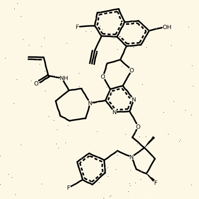 C#Cc1c(F)ccc2cc(O)cc(C3COc4c(nc(OC[C@]5(C)C[C@@H](F)CN5Cc5ccc(F)cc5)nc4N4CCCCC(NC(=O)C=C)C4)O3)c12